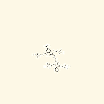 CC1(CCCS(=O)(=O)O)C(/C=C/C=C/C=C2/N(CCCS(=O)(=O)O)c3cc(C(=O)O)cc(C(=O)OCCCS(=O)(=O)O)c3C2(C)C)=[N+](CCCS(=O)(=O)O)c2ccccc21